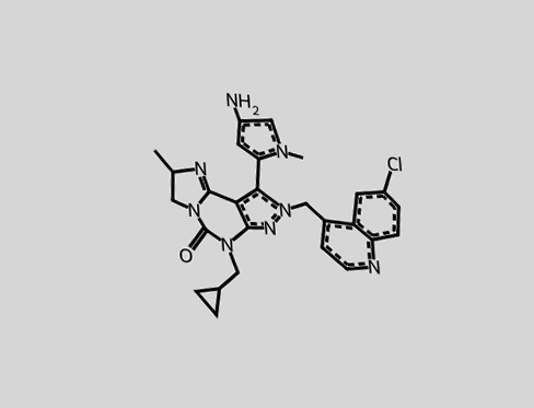 CC1CN2C(=O)N(CC3CC3)c3nn(Cc4ccnc5ccc(Cl)cc45)c(-c4cc(N)cn4C)c3C2=N1